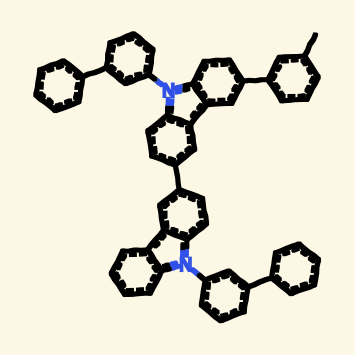 Cc1cccc(-c2ccc3c(c2)c2cc(-c4ccc5c(c4)c4ccccc4n5-c4cccc(-c5ccccc5)c4)ccc2n3-c2cccc(-c3ccccc3)c2)c1